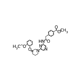 CCOc1ccccc1O[C@@H]1CCCN(c2cncc(NC(=O)Cc3ccc(C(=O)OC)cc3)n2)C1